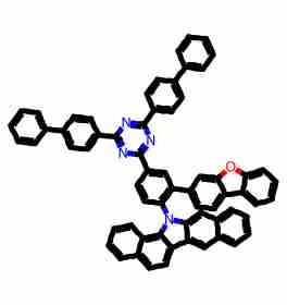 c1ccc(-c2ccc(-c3nc(-c4ccc(-c5ccccc5)cc4)nc(-c4ccc(-n5c6cc7ccccc7cc6c6ccc7ccccc7c65)c(-c5ccc6c(c5)oc5ccccc56)c4)n3)cc2)cc1